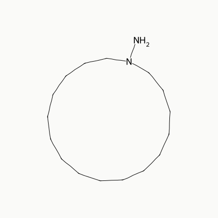 NN1CCCCCCCCCCCCCCCC1